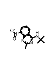 Cc1nc(NC(C)(C)C)c2cccc([N+](=O)[O-])c2n1